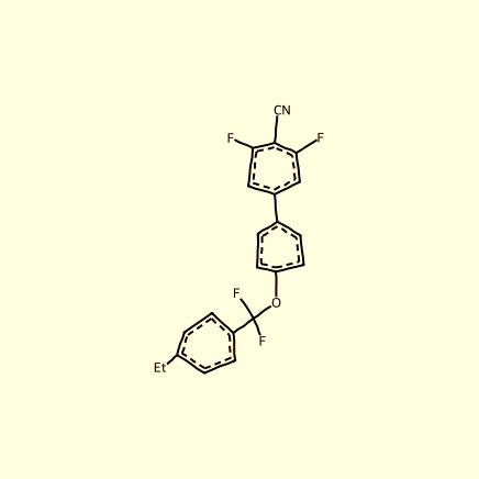 CCc1ccc(C(F)(F)Oc2ccc(-c3cc(F)c(C#N)c(F)c3)cc2)cc1